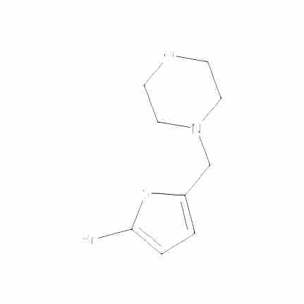 Brc1ccc(CN2CCOCC2)s1